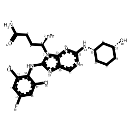 CCC[C@H](CCC(N)=O)n1c(Nc2c(Cl)cc(F)cc2Cl)nc2cnc(N[C@H]3CCC[C@@H](O)C3)nc21